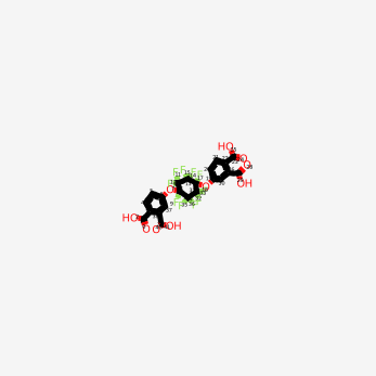 O=C(O)c1ccc(OC2(F)C(F)(F)C(F)(F)C(F)(Oc3ccc(C(=O)O)c(C(=O)O)c3)C(F)(F)C2(F)F)cc1C(=O)O